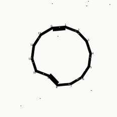 C1=C\CCCCCC/C=C/CCCC/1